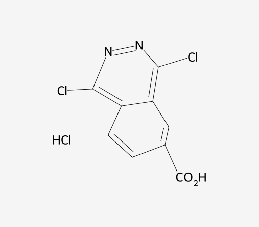 Cl.O=C(O)c1ccc2c(Cl)nnc(Cl)c2c1